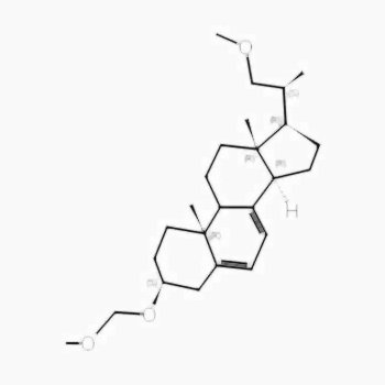 COCO[C@H]1CC[C@@]2(C)C(=CC=C3C2CC[C@]2(C)[C@@H]([C@H](C)COC)CC[C@@H]32)C1